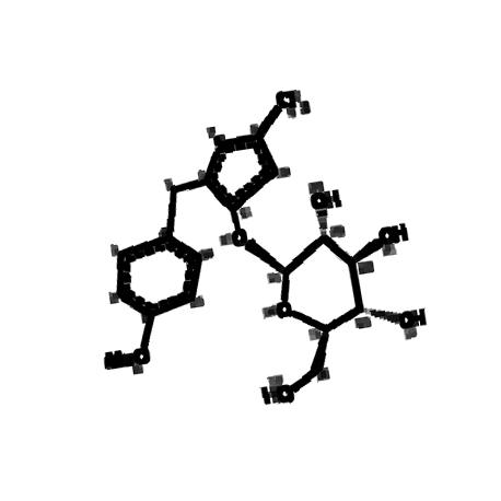 COc1ccc(Cc2sc(C(F)(F)F)cc2O[C@@H]2O[C@H](CO)[C@@H](O)[C@H](O)[C@H]2O)cc1